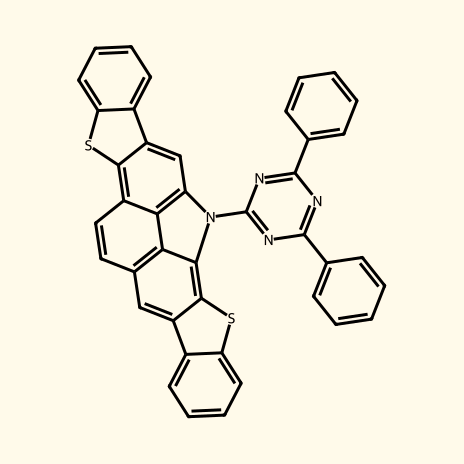 c1ccc(-c2nc(-c3ccccc3)nc(-n3c4cc5c6ccccc6sc5c5ccc6cc7c8ccccc8sc7c3c6c54)n2)cc1